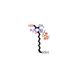 CCCCCCCC/C=C\CCCCCCCC(=O)NC(C)C(N)CO.COS(=O)(=O)O